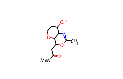 CNC(=O)CC1OC(C)=NC2C(O)CCOC12